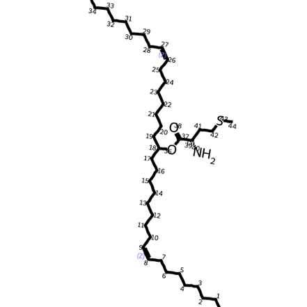 CCCCCCCC/C=C\CCCCCCCCC(CCCCCCC/C=C\CCCCCCCC)OC(=O)[C@@H](N)CCSC